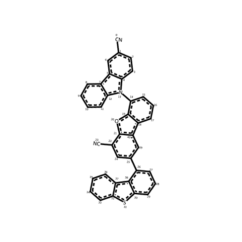 N#Cc1ccc2c(c1)c1ccccc1n2-c1cccc2c1oc1c(C#N)cc(-c3cccc4sc5ccccc5c34)cc12